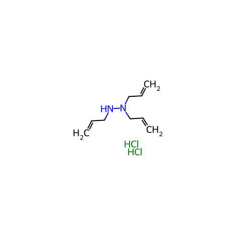 C=CCNN(CC=C)CC=C.Cl.Cl